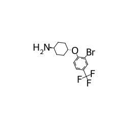 N[C@H]1CC[C@H](Oc2ccc(C(F)(F)F)cc2Br)CC1